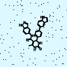 CC1=C(C(=O)Nc2ccc3[nH]ncc3c2)C(c2ccc(-c3ccc4[nH]ccc4c3)cc2)NC(=O)N1